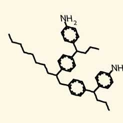 CCCCCCCCC(Cc1ccc(C(CCC)c2ccc(N)cc2)cc1)c1ccc(C(CCC)c2ccc(N)cc2)cc1